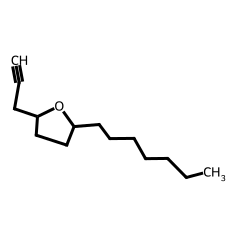 C#CCC1CCC(CCCCCCC)O1